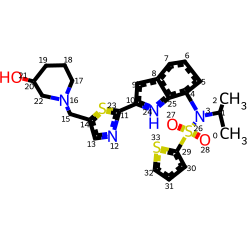 CC(C)N(c1cccc2cc(-c3ncc(CN4CCCC(O)C4)s3)[nH]c12)S(=O)(=O)c1cccs1